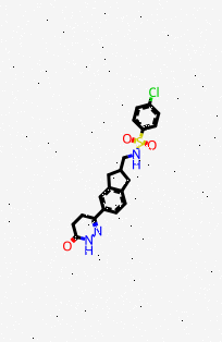 O=C1CCC(c2ccc3c(c2)CC(CNS(=O)(=O)c2ccc(Cl)cc2)C3)=NN1